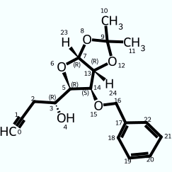 C#CC[C@@H](O)[C@H]1O[C@@H]2OC(C)(C)O[C@@H]2[C@H]1OCc1ccccc1